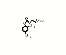 Cc1ccc(OC(=O)OCCOCC(C)C)c(C)c1